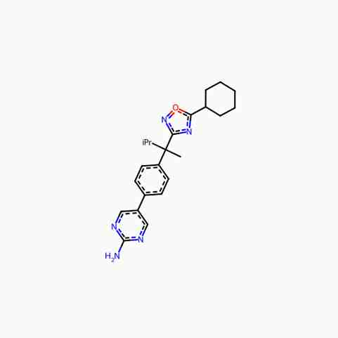 CC(C)C(C)(c1ccc(-c2cnc(N)nc2)cc1)c1noc(C2CCCCC2)n1